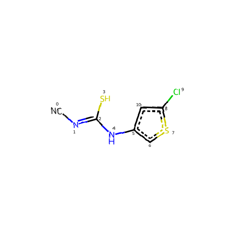 N#CN=C(S)Nc1csc(Cl)c1